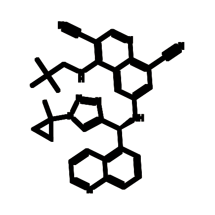 CC(C)(C)CNc1c(C#N)cnc2c(C#N)cc(N[C@H](c3cn(C4(C)CC4)nn3)c3cccc4ncccc34)cc12